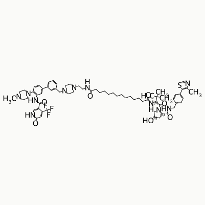 Cc1ncsc1-c1ccc(CNC(=O)[C@@H]2C[C@@H](O)CN2C(=O)[C@@H](NC(=O)CCCCCCCCCCCCC(=O)NCCN2CCN(Cc3cccc(-c4ccc(N5CCN(C)CC5)c(NC(=O)c5c[nH]c(=O)cc5C(F)(F)F)c4)c3)CC2)C(C)(C)C)cc1